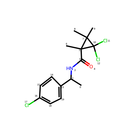 CC(NC(=O)C1(C)C(C)(C)C1(Cl)Cl)c1ccc(Cl)cc1